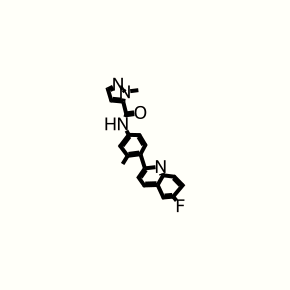 Cc1cc(NC(=O)c2ccnn2C)ccc1-c1ccc2cc(F)ccc2n1